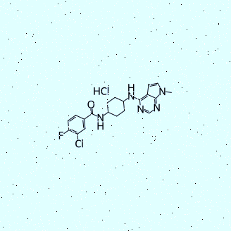 Cl.Cn1ccc2c(NC3CCC(NC(=O)c4ccc(F)c(Cl)c4)CC3)ncnc21